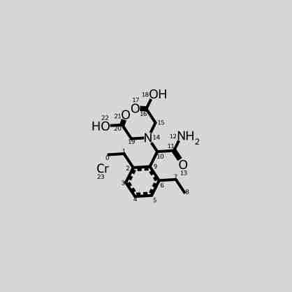 CCc1cccc(CC)c1C(C(N)=O)N(CC(=O)O)CC(=O)O.[Cr]